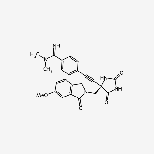 COc1ccc2c(c1)C(=O)N(C[C@@]1(C#Cc3ccc(C(=N)N(C)C)cc3)NC(=O)NC1=O)C2